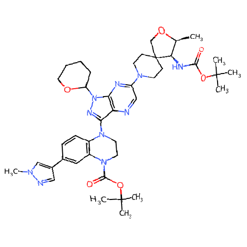 C[C@@H]1OCC2(CCN(c3cnc4c(N5CCN(C(=O)OC(C)(C)C)c6cc(-c7cnn(C)c7)ccc65)nn(C5CCCCO5)c4n3)CC2)[C@@H]1NC(=O)OC(C)(C)C